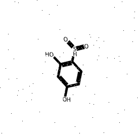 O=[SH](=O)c1ccc(O)cc1O